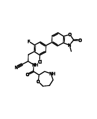 Cn1c(=O)oc2ccc(-c3cc(F)c(CC(C#N)NC(=O)C4CNCCCO4)c(Cl)c3)cc21